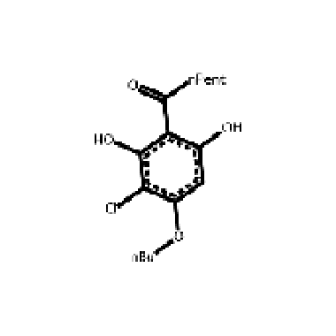 CCCCCC(=O)c1c(O)cc(OCCCC)c(Cl)c1O